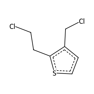 ClCCc1sccc1CCl